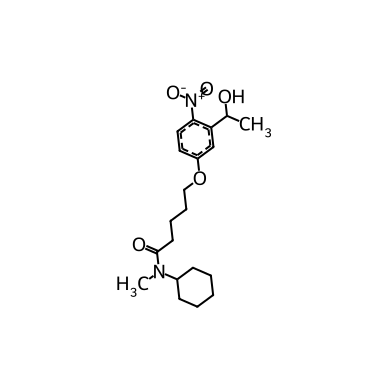 CC(O)c1cc(OCCCCC(=O)N(C)C2CCCCC2)ccc1[N+](=O)[O-]